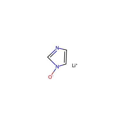 [Li+].[O-]n1ccnc1